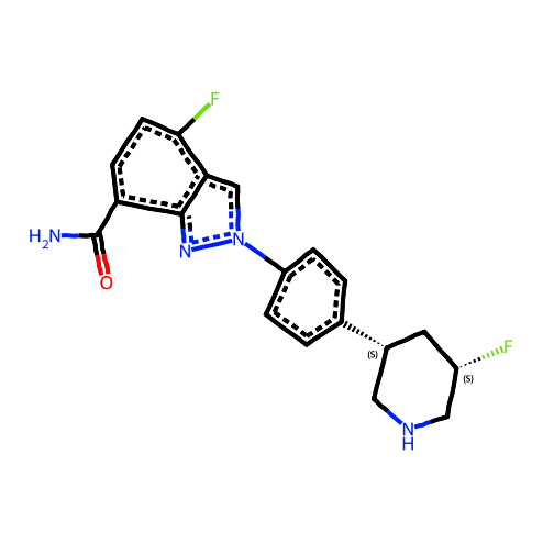 NC(=O)c1ccc(F)c2cn(-c3ccc([C@H]4CNC[C@@H](F)C4)cc3)nc12